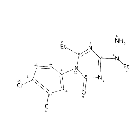 CCc1nc(N(N)CC)nc(=O)n1-c1ccc(Cl)c(Cl)c1